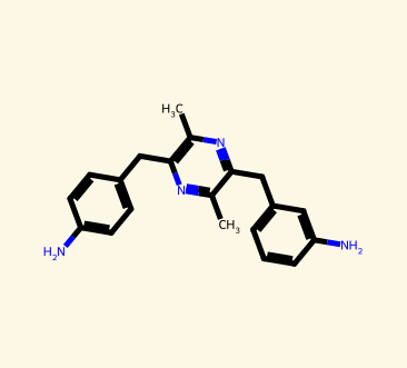 Cc1nc(Cc2cccc(N)c2)c(C)nc1Cc1ccc(N)cc1